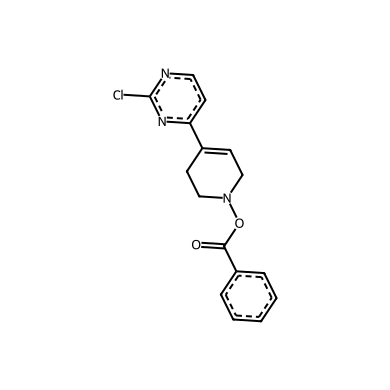 O=C(ON1CC=C(c2ccnc(Cl)n2)CC1)c1ccccc1